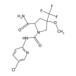 COC1(C(F)(F)F)CC(C(N)=O)N(C(=O)Nc2ccc(Cl)cn2)C1